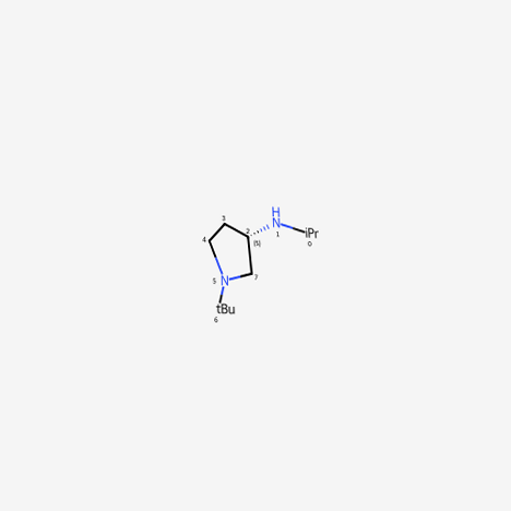 CC(C)N[C@H]1CCN(C(C)(C)C)C1